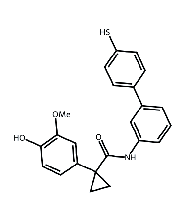 COc1cc(C2(C(=O)Nc3cccc(-c4ccc(S)cc4)c3)CC2)ccc1O